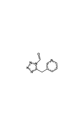 O=Cn1nnnc1Cc1cccnc1